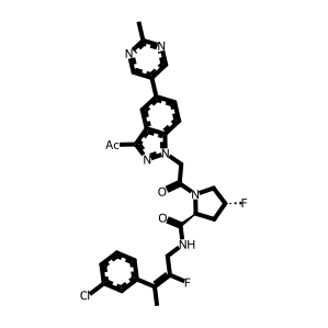 CC(=O)c1nn(CC(=O)N2C[C@H](F)C[C@H]2C(=O)NCC(F)=C(C)c2cccc(Cl)c2)c2ccc(-c3cnc(C)nc3)cc12